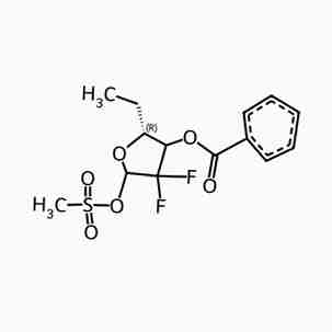 CC[C@H]1OC(OS(C)(=O)=O)C(F)(F)C1OC(=O)c1ccccc1